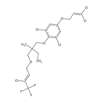 CCC(C)(COCC=C(Cl)C(F)(F)F)COc1c(Cl)cc(OCC=C(Cl)Cl)cc1Cl